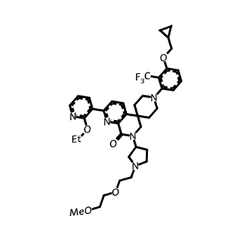 CCOc1ncccc1-c1ccc2c(n1)C(=O)N(C1CCN(CCOCCOC)C1)CC21CCN(c2cccc(OCC3CC3)c2C(F)(F)F)CC1